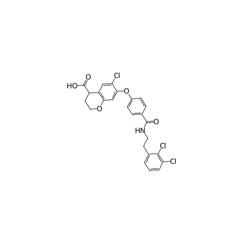 O=C(NCCc1cccc(Cl)c1Cl)c1ccc(Oc2cc3c(cc2Cl)C(C(=O)O)CCO3)cc1